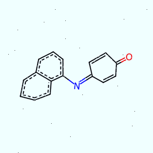 O=C1C=CC(=Nc2cccc3ccccc23)C=C1